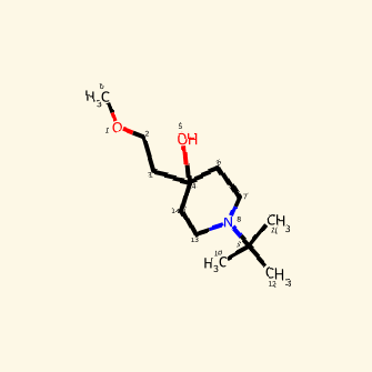 COCCC1(O)CCN(C(C)(C)C)CC1